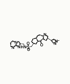 Cn1cc(-c2cnc3ccc4ccc(CS(=O)(=O)NCc5cn6cccnc6n5)cc4c(=O)c3c2)cn1